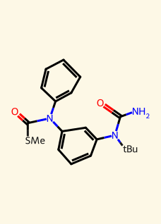 CSC(=O)N(c1ccccc1)c1cccc(N(C(N)=O)C(C)(C)C)c1